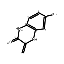 C=C1Nc2cc(F)ccc2NC1=O